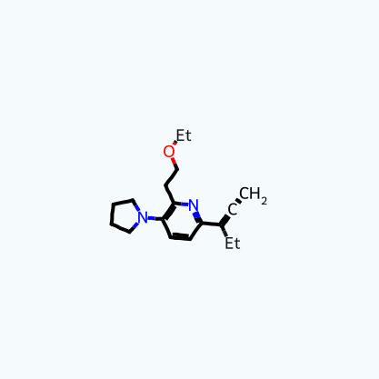 C=C=C(CC)c1ccc(N2CCCC2)c(CCOCC)n1